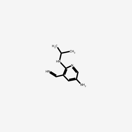 CC(C)Nc1ncc(N)cc1C=N